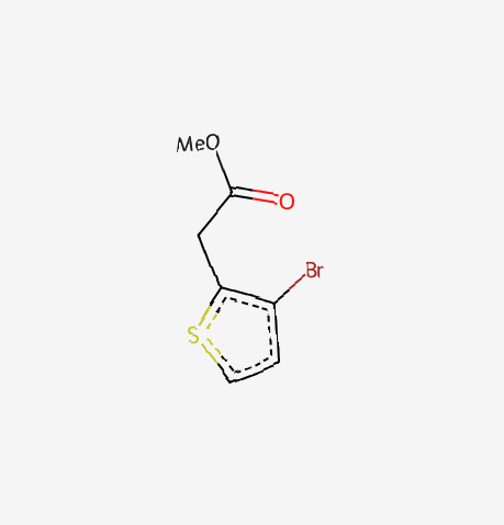 COC(=O)Cc1sccc1Br